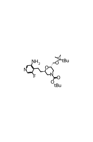 CC(C)(C)OC(=O)N1C[C@@H](CCc2c(N)cncc2F)O[C@H](CO[Si](C)(C)C(C)(C)C)C1